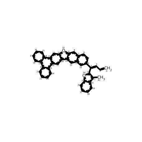 C=C/C=C(/c1ccc2cc3oc4cc5c6ccccc6c6ccccc6c5cc4c3cc2c1)c1oc2ccccc2c1C